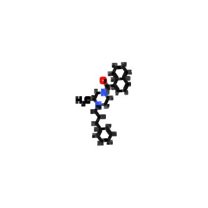 CC1CN(C(=O)c2cccc3ccccc23)CCN1CCCc1ccccc1